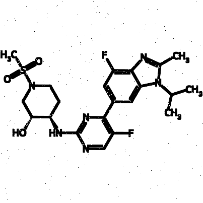 Cc1nc2c(F)cc(-c3nc(N[C@@H]4CCN(S(C)(=O)=O)C[C@H]4O)ncc3F)cc2n1C(C)C